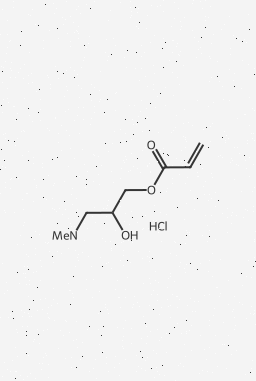 C=CC(=O)OCC(O)CNC.Cl